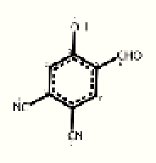 N#Cc1cc(O)c(C=O)cc1C#N